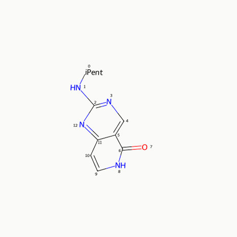 CCCC(C)Nc1ncc2c(=O)[nH]ccc2n1